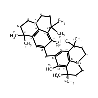 CC1(C)CCN2CCC(C)(C)c3c(O)c(Cc4cc5c6c(c4O)C(C)(C)CCN6CCC5(C)C)cc1c32